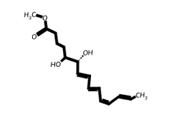 C/C=C/C=C\C=C\C=C\[C@@H](O)C(O)CCCC(=O)OC